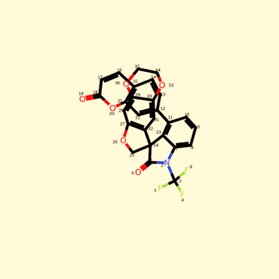 O=C1N(C(F)(F)F)c2cccc(-c3ccc4ccc(=O)oc4c3)c2C12COc1cc3c(cc12)OCCO3